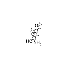 COC(=O)C(C)c1cc(C(C)C)c(Oc2ccc(N)c(O)c2)c(C(C)C)c1